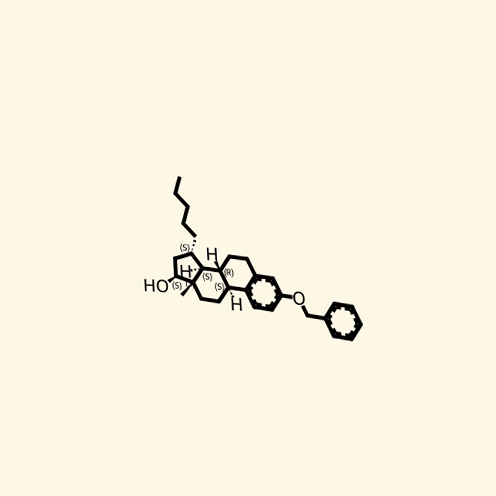 CCCCC[C@H]1C[C@H](O)[C@@]2(C)CC[C@@H]3c4ccc(OCc5ccccc5)cc4CC[C@H]3[C@H]12